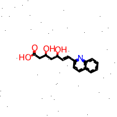 O=C(O)CC(O)CC(O)/C=C/c1ccc2ccccc2n1